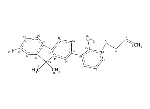 C=CCCc1cccc(-c2ccc3c(c2)C(C)(C)c2cc(I)ccc2-3)c1C